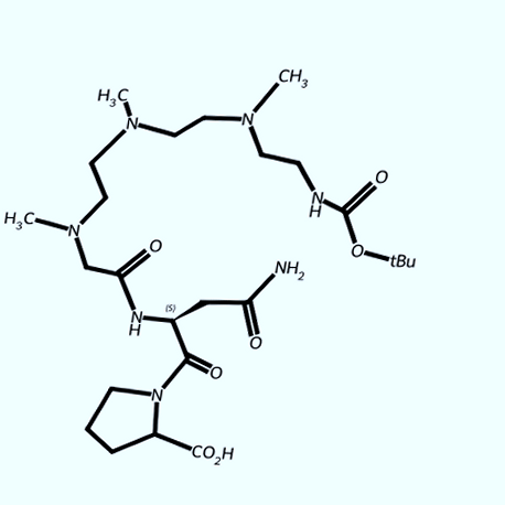 CN(CCNC(=O)OC(C)(C)C)CCN(C)CCN(C)CC(=O)N[C@@H](CC(N)=O)C(=O)N1CCCC1C(=O)O